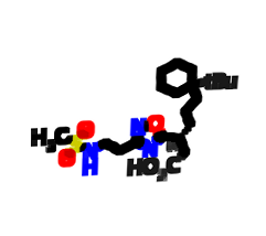 CC(C)(C)C1(CCC[C@H](CC(=O)O)c2nc(CCNS(C)(=O)=O)no2)CCCCC1